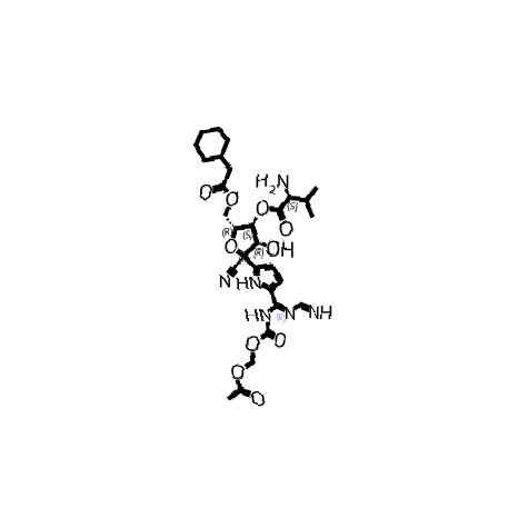 CC(=O)OCOC(=O)N/C(=N/C=N)c1ccc([C@]2(C#N)O[C@H](COC(=O)CC3CCCCC3)[C@@H](OC(=O)[C@@H](N)C(C)C)[C@H]2O)[nH]1